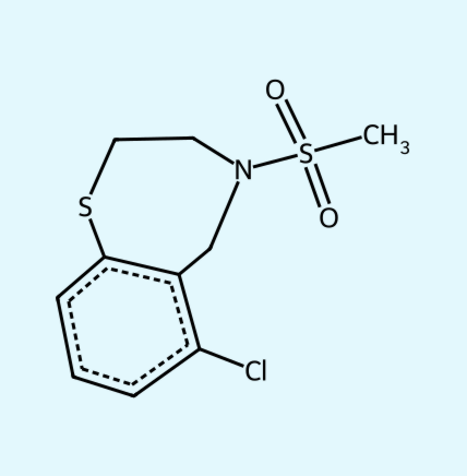 CS(=O)(=O)N1CCSc2cccc(Cl)c2C1